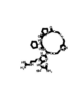 CC(C)(C)[C@H](NC(=O)[C@H](CCCNC(=N)N)NC(=O)[C@@H]1CCCn2cc(nn2)CCCCCC(=O)N2CCC[C@H]2C(=O)N[C@@H](C2CCCCC2)C(=O)N1)C(N)=O